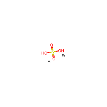 O=S(=O)(O)O.[Er].[Y]